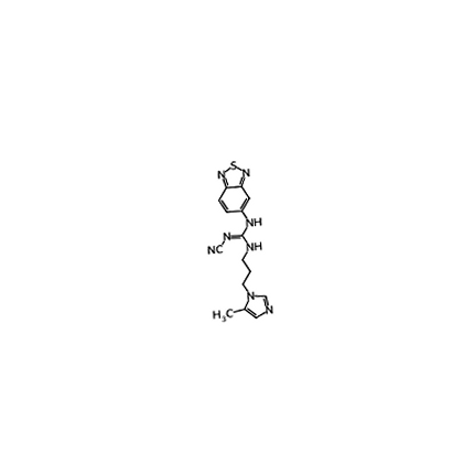 Cc1cncn1CCCNC(=NC#N)Nc1ccc2nsnc2c1